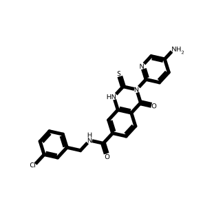 Nc1ccc(-n2c(=S)[nH]c3cc(C(=O)NCc4cccc(Cl)c4)ccc3c2=O)nc1